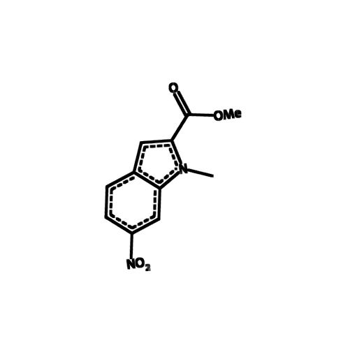 COC(=O)c1cc2ccc([N+](=O)[O-])cc2n1C